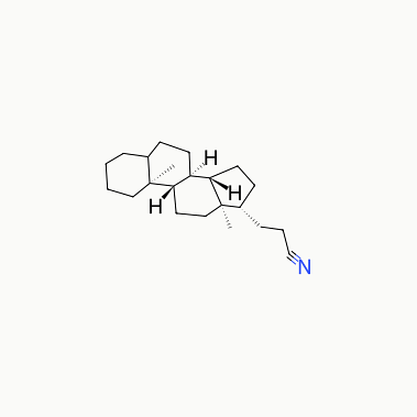 C[C@]12CC[C@H]3[C@@H](CCC4CCCC[C@@]43C)[C@@H]1CC[C@@H]2CCC#N